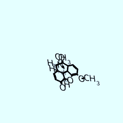 COC1=C2O[C@H]3C(=O)C=C[C@H]4[C@H]5C(=O)C(C=C1)C2[C@@]34CCN5C